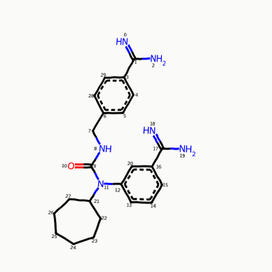 N=C(N)c1ccc(CNC(=O)N(c2cccc(C(=N)N)c2)C2CCCCCC2)cc1